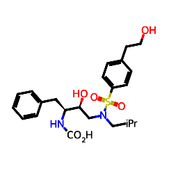 CC(C)CN(C[C@H](O)[C@H](Cc1ccccc1)NC(=O)O)S(=O)(=O)c1ccc(CCO)cc1